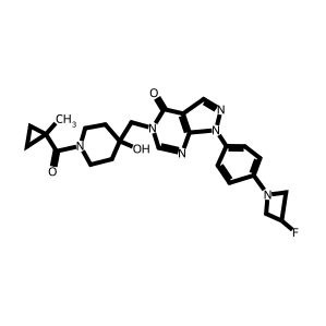 CC1(C(=O)N2CCC(O)(Cn3cnc4c(cnn4-c4ccc(N5CC(F)C5)cc4)c3=O)CC2)CC1